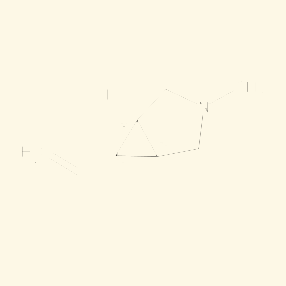 C=C[C@@H]1[C@H]2CN(C)C[C@@H]12